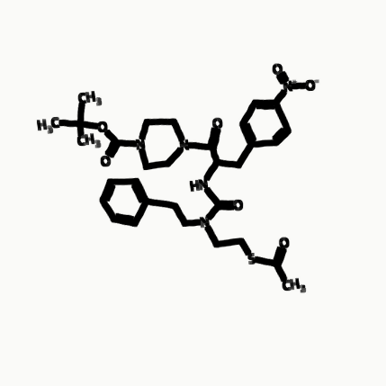 CC(=O)SCCN(CCc1ccccc1)C(=O)NC(Cc1ccc([N+](=O)[O-])cc1)C(=O)N1CCN(C(=O)OC(C)(C)C)CC1